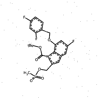 CC(C)(C)OC(=O)n1c(COS(C)(=O)=O)cc2cc(F)cc(OCc3ccc(F)cc3F)c21